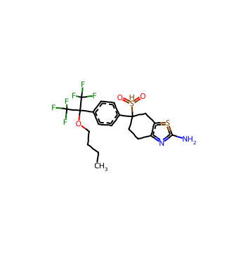 CCCCOC(c1ccc(C2([SH](=O)=O)CCc3nc(N)sc3C2)cc1)(C(F)(F)F)C(F)(F)F